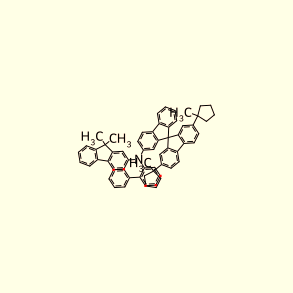 CC1(c2ccc3c(c2)C2(c4ccccc4-c4ccc(N(c5ccc6c(c5)C(C)(C)c5ccccc5-6)c5ccccc5-c5ccccc5)cc42)c2cc(C4(C)CCCC4)ccc2-3)CCCC1